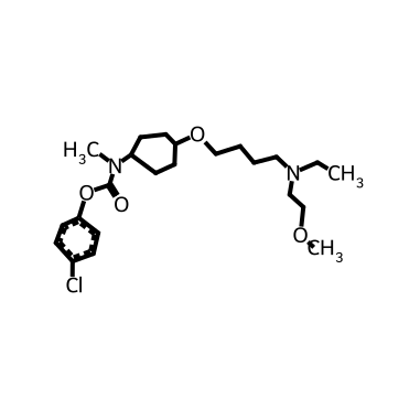 CCN(CCCCOC1CCC(N(C)C(=O)Oc2ccc(Cl)cc2)CC1)CCOC